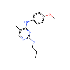 CCCNc1ncc(C)c(Nc2ccc(OC)cc2)n1